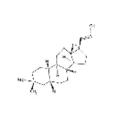 C[C@@]1(O)CC[C@H]2[C@H](CC[C@@H]3[C@@H]2CC[C@]2(C)[C@@H](/C=N/O)CC[C@@H]32)C1